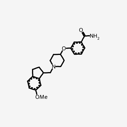 COc1ccc2c(c1)C(CN1CCC(Oc3cccc(C(N)=O)c3)CC1)CC2